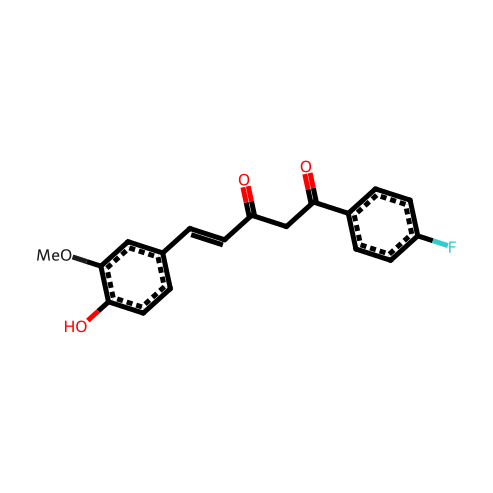 COc1cc(C=CC(=O)CC(=O)c2ccc(F)cc2)ccc1O